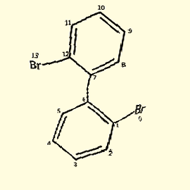 Brc1[c]cccc1-c1ccccc1Br